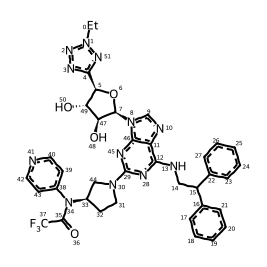 CCn1nnc([C@H]2O[C@@H](n3cnc4c(NCC(c5ccccc5)c5ccccc5)nc(N5CC[C@@H](N(C(=O)C(F)(F)F)c6ccncc6)C5)nc43)[C@@H](O)[C@@H]2O)n1